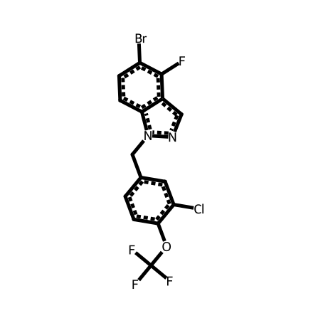 Fc1c(Br)ccc2c1cnn2Cc1ccc(OC(F)(F)F)c(Cl)c1